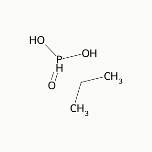 CCC.O=[PH](O)O